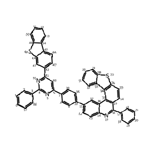 c1ccc(-c2nc(-c3ccc(-c4ccc5nc(-c6ccccc6)c6ccc7sc8ccccc8c7c6c5c4)cc3)cc(-c3ccc4c(c3)sc3ccccc34)n2)cc1